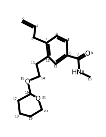 C=CCc1ccc(C(=O)NC)cc1CCOC1CCCCO1